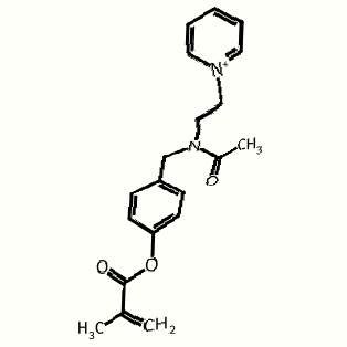 C=C(C)C(=O)Oc1ccc(CN(CC[n+]2ccccc2)C(C)=O)cc1